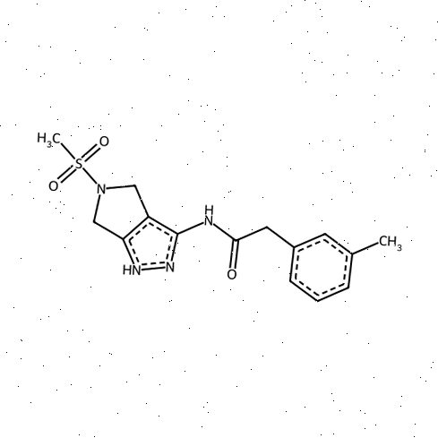 Cc1cccc(CC(=O)Nc2n[nH]c3c2CN(S(C)(=O)=O)C3)c1